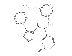 C=N/C=C(\C=C/C)C(Nc1cncc(OC)c1)C(=O)c1sccc1-c1ccccc1